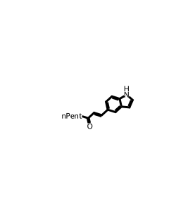 CCCCCC(=O)/C=C/c1ccc2[nH]ccc2c1